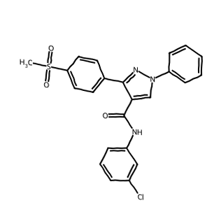 CS(=O)(=O)c1ccc(-c2nn(-c3ccccc3)cc2C(=O)Nc2cccc(Cl)c2)cc1